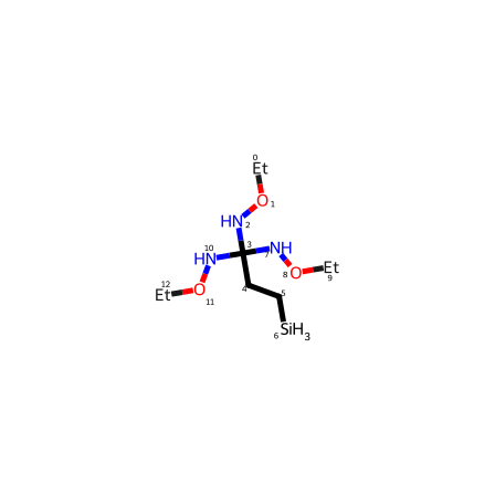 CCONC(CC[SiH3])(NOCC)NOCC